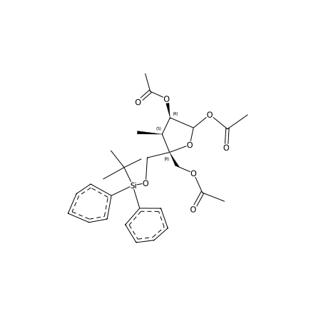 CC(=O)OC[C@]1(CO[Si](c2ccccc2)(c2ccccc2)C(C)(C)C)OC(OC(C)=O)[C@H](OC(C)=O)[C@@H]1C